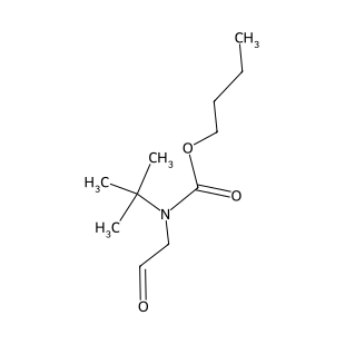 CCCCOC(=O)N(CC=O)C(C)(C)C